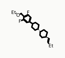 CC/C=C/[C@H]1CC[C@H](C2CCC(c3cc(F)c(COCC)c(F)c3)CC2)CC1